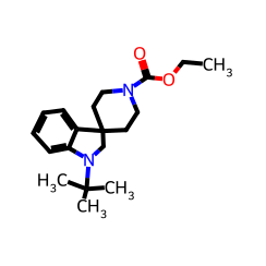 CCOC(=O)N1CCC2(CC1)CN(C(C)(C)C)c1ccccc12